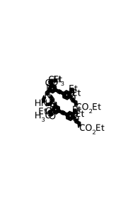 CCOC(=O)CCCOc1ccc(C#Cc2cc(CN3CCNCCN(Cc4cc(C#Cc5ccc(OCCCC(=O)OCC)c(N(CC)CC)c5)cc(P(C)(=O)OCC)n4)CC3)nc(P(C)(=O)OCC)c2)cc1N(CC)CC